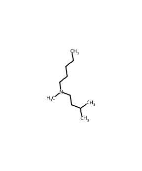 CCCCCN(C)CCC(C)C